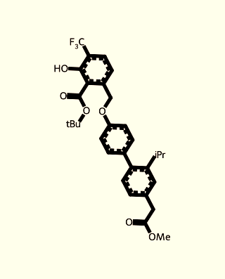 COC(=O)Cc1ccc(-c2ccc(OCc3ccc(C(F)(F)F)c(O)c3C(=O)OC(C)(C)C)cc2)c(C(C)C)c1